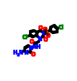 Nc1ccn(NC(=O)Cn2c(=O)n(S(=O)(=O)c3ccc(Cl)cc3)c(=O)c3ccc(Cl)cc32)c(=O)n1